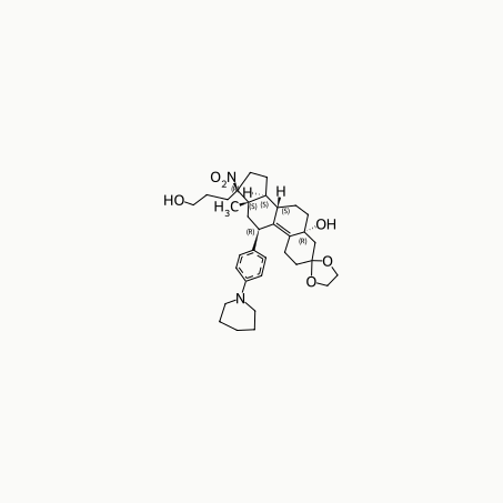 C[C@]12C[C@H](c3ccc(N4CCCCC4)cc3)C3=C4CCC5(C[C@]4(O)CC[C@H]3[C@@H]1CC[C@]2(CCCO)[N+](=O)[O-])OCCO5